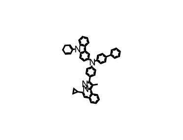 Cc1c(-c2ccc(N(c3ccc(-c4ccccc4)cc3)c3ccc4c(c3)c3ccccc3n4C3=CCCC=C3)cc2)nn2c(C3CC3)cc3ccccc3c12